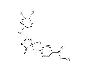 COC(=O)c1ccc(CC2(C)SC(Nc3ccc(Cl)c(Cl)c3)=NC2=O)cc1